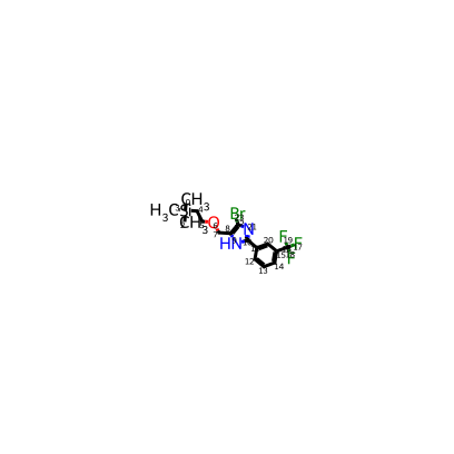 C[Si](C)(C)CCOCc1[nH]c(-c2cccc(C(F)(F)F)c2)nc1Br